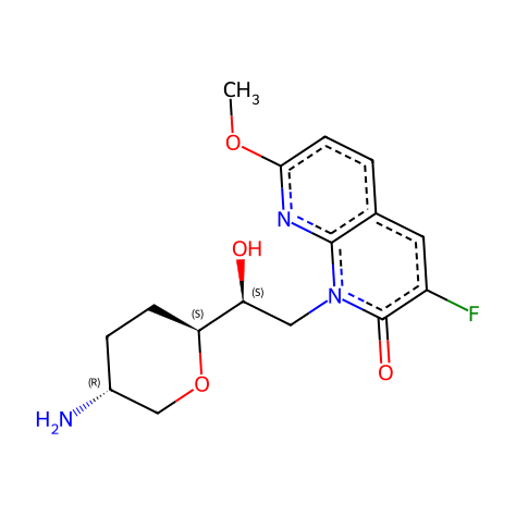 COc1ccc2cc(F)c(=O)n(C[C@H](O)[C@@H]3CC[C@@H](N)CO3)c2n1